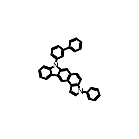 c1ccc(-c2cccc(-n3c4ccccc4c4cc5c(ccc6c5ccn6-c5ccccc5)cc43)c2)cc1